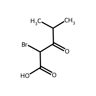 CC(C)C(=O)C(Br)C(=O)O